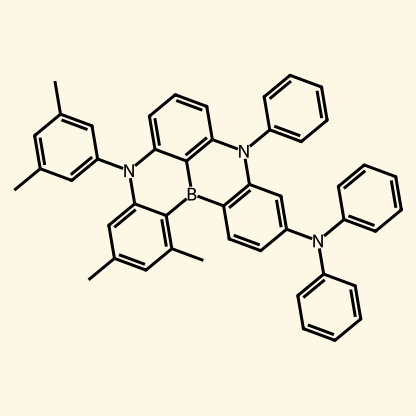 Cc1cc(C)cc(N2c3cc(C)cc(C)c3B3c4ccc(N(c5ccccc5)c5ccccc5)cc4N(c4ccccc4)c4cccc2c43)c1